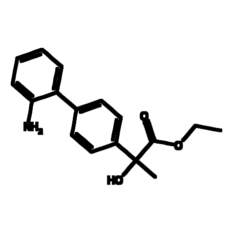 CCOC(=O)C(C)(O)c1ccc(-c2ccccc2N)cc1